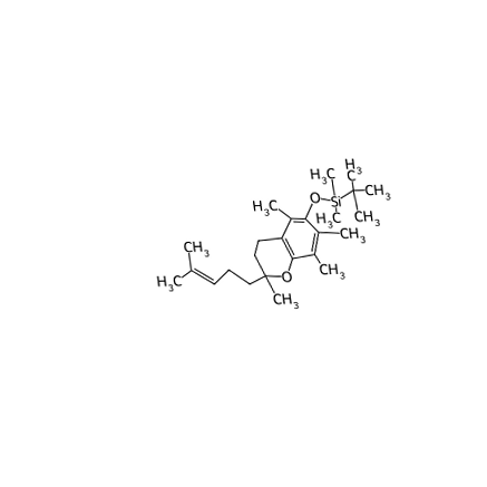 CC(C)=CCCC1(C)CCc2c(C)c(O[Si](C)(C)C(C)(C)C)c(C)c(C)c2O1